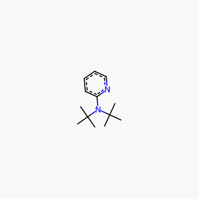 CC(C)(C)N(c1ccccn1)C(C)(C)C